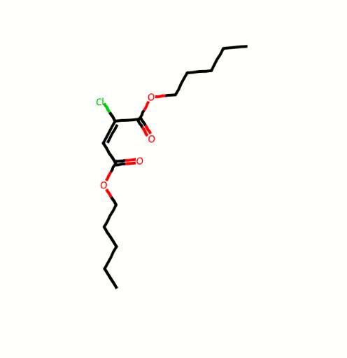 CCCCCOC(=O)/C=C(/Cl)C(=O)OCCCCC